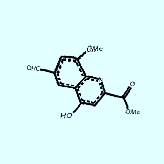 COC(=O)c1cc(O)c2cc(C=O)cc(OC)c2n1